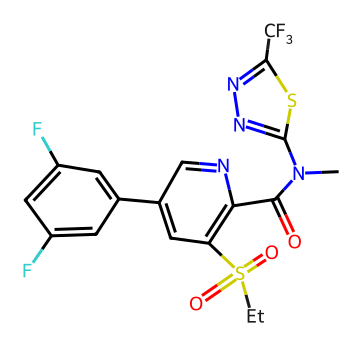 CCS(=O)(=O)c1cc(-c2cc(F)cc(F)c2)cnc1C(=O)N(C)c1nnc(C(F)(F)F)s1